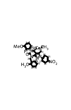 COc1cccc(-n2c(=O)c3c(CN(C)C)n(-c4ccc([N+](=O)[O-])cc4)nc3n(Cc3c(C)cccc3F)c2=O)c1F